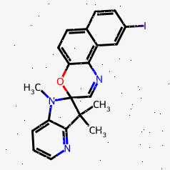 CN1c2cccnc2C(C)(C)C12C=Nc1c(ccc3ccc(I)cc13)O2